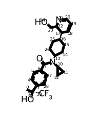 C[C@](O)(c1ccc(C(=O)N(C2CC2)[C@H]2CC[C@H](C3C=CC=NC3CO)CC2)cc1)C(F)(F)F